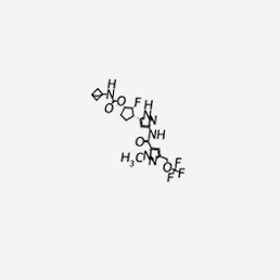 Cn1nc(COC(F)(F)F)cc1C(=O)Nc1cc([C@@H]2CC[C@H](OC(=O)NC34CC(C3)C4)[C@@H]2F)[nH]n1